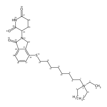 CC[N+](CC)(CC)CCCCCCCCSc1cccc2c1CN(C1CCC(=O)NC1=O)C2=O